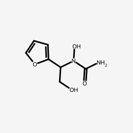 NC(=O)N(O)C(CO)c1ccco1